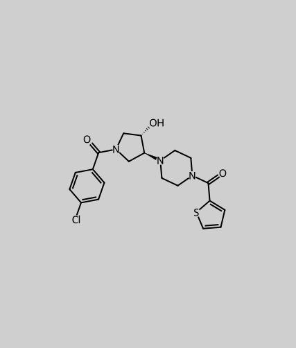 O=C(c1ccc(Cl)cc1)N1C[C@H](O)[C@@H](N2CCN(C(=O)c3cccs3)CC2)C1